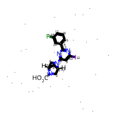 O=C(O)N1C[C@@H]2C[C@H]1CN2c1cc(I)nc(-c2cccc(F)c2)n1